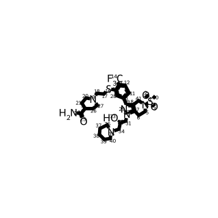 CS(=O)(=O)N1CCc2c(c(-c3ccc(C(F)(F)F)c(SCCN4CCC(C(N)=O)CC4)c3)nn2C[C@H](O)CN2CCCCC2)C1